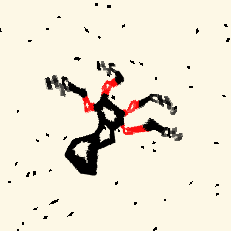 CCOc1c2c(c(OCC)c(OCC)c1OCC)-c1ccccc1C2